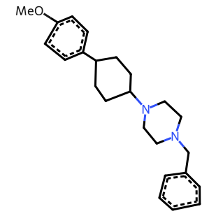 COc1ccc(C2CCC(N3CCN(Cc4ccccc4)CC3)CC2)cc1